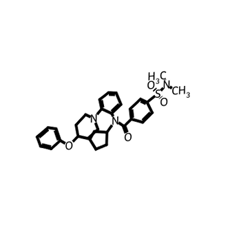 CN(C)S(=O)(=O)c1ccc(C(=O)N(c2ccccc2N2CCC(Oc3ccccc3)CC2)C2CCCC2)cc1